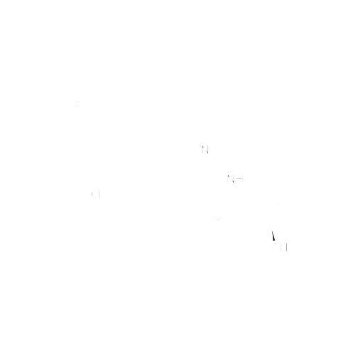 Cc1ccc(F)cc1-c1ccc2cc(NC(=O)C3C[C@H]3C)ncc2c1